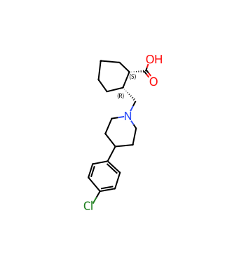 O=C(O)[C@H]1CCCC[C@H]1CN1CCC(c2ccc(Cl)cc2)CC1